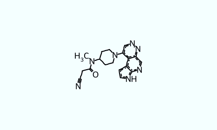 CN(C(=O)CC#N)C1CCN(c2cnnc3cnc4[nH]ccc4c23)CC1